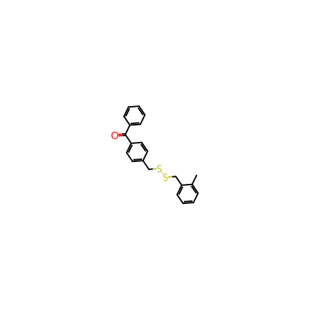 Cc1ccccc1CSSCc1ccc(C(=O)c2ccccc2)cc1